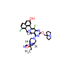 C#Cc1c(F)ccc2cc(O)cc(-c3ncc4c(N5C[C@H]6C[C@H](C#N)[C@@H](C5)N6C(=O)C=C)nc(OCC56CCCN5CCC6)nc4c3F)c12